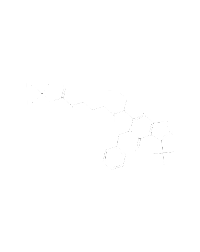 CCC(NCCCNC(=O)OC(C)(C)C)c1nc2onc(C(F)(F)F)c2c(=O)n1Cc1ccccc1